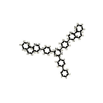 c1ccc(-c2ccc(-c3nc(-c4ccc(-c5cnc6c(ccc7cccnc76)c5)cc4)nc(-c4ccc(-c5cnc6c(ccc7cccnc76)c5)cc4)n3)cc2)cc1